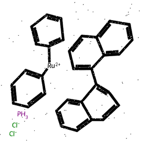 P.[Cl-].[Cl-].c1cc[c]([Ru+2][c]2ccccc2)cc1.c1ccc2c(-c3cccc4ccccc34)cccc2c1